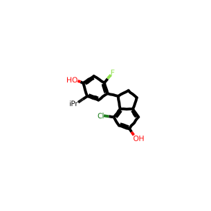 CC(C)c1cc(C2CCc3cc(O)cc(Cl)c32)c(F)cc1O